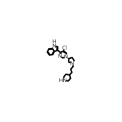 ClC1=CN([C@@H]2CCN(CCCC3CCNCC3)C2)CN=C1c1c[nH]c2ccccc12